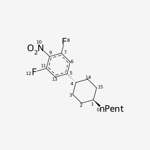 CCCCC[C@H]1CC[C@H](c2cc(F)c([N+](=O)[O-])c(F)c2)CC1